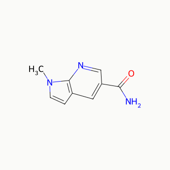 Cn1ccc2cc(C(N)=O)cnc21